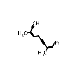 C#CC(C)=CCC#CC(C)=CC(C)C